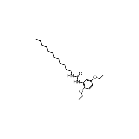 CCCCCCCCCCCCNC(=O)Nc1cc(OCC)ccc1OCC